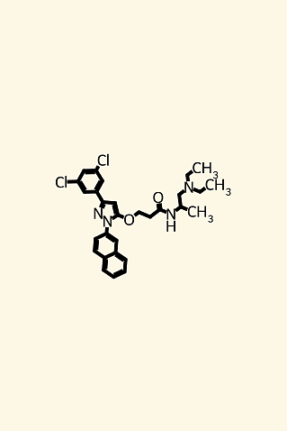 CCN(CC)CC(C)NC(=O)CCOc1cc(-c2cc(Cl)cc(Cl)c2)nn1-c1ccc2ccccc2c1